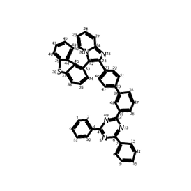 c1ccc(-c2nc(-c3ccccc3)nc(-c3cccc(-c4ccc(-c5nc6ccccn6c5-c5cccc6sc7ccccc7c56)cc4)c3)n2)cc1